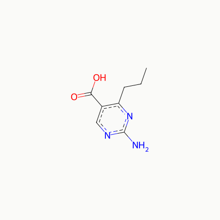 CCCc1nc(N)ncc1C(=O)O